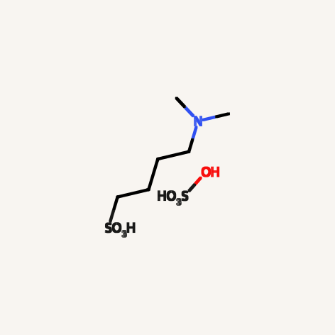 CN(C)CCCCS(=O)(=O)O.O=S(=O)(O)O